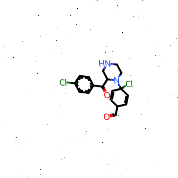 O=[C]C1C=CC(Cl)(N2CCNCC2C(=O)c2ccc(Cl)cc2)C=C1